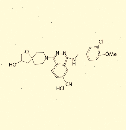 COc1ccc(CNc2nnc(N3CCC4(CC3)CC(O)CO4)c3ccc(C#N)cc23)cc1Cl.Cl